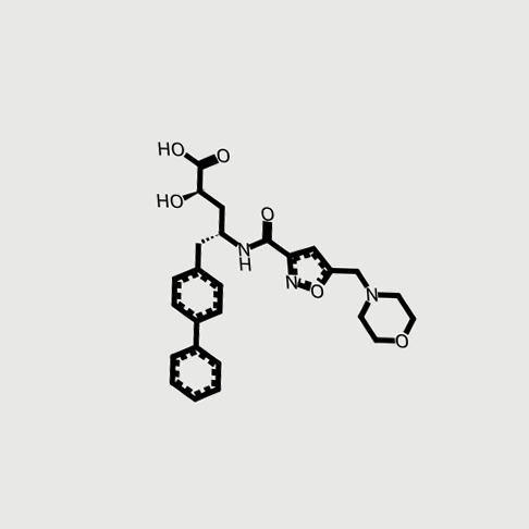 O=C(N[C@H](Cc1ccc(-c2ccccc2)cc1)C[C@@H](O)C(=O)O)c1cc(CN2CCOCC2)on1